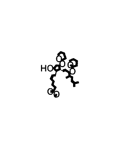 COC(=O)CCC/C=C\C[C@@H]1[C@@H](/C=C/[C@@H](OC2CCCCO2)C(C)CC=C(C)C)[C@H](OC2CCCCO2)C[C@H]1O